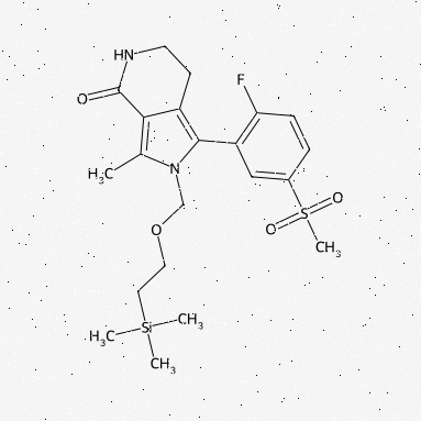 Cc1c2c(c(-c3cc(S(C)(=O)=O)ccc3F)n1COCC[Si](C)(C)C)CCNC2=O